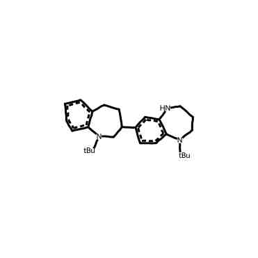 CC(C)(C)N1CC(c2ccc3c(c2)NCCCN3C(C)(C)C)CCc2ccccc21